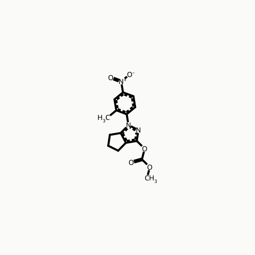 COC(=O)Oc1nn(-c2ccc([N+](=O)[O-])cc2C)c2c1CCC2